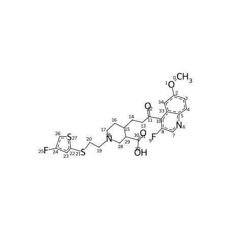 COc1ccc2ncc(F)c(C(=O)CCC3CCN(CCSc4cc(F)cs4)CC3C(=O)O)c2c1